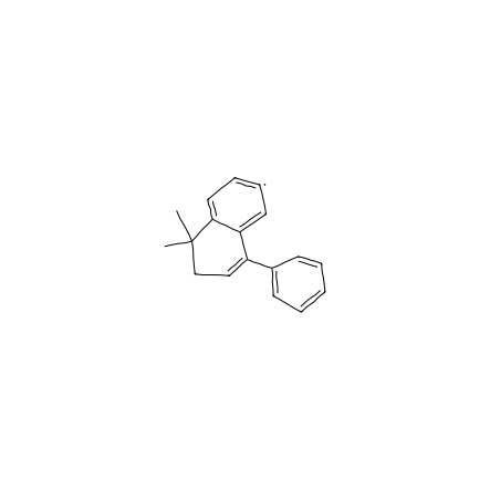 CC1(C)CC=C(c2ccccc2)c2c[c]ccc21